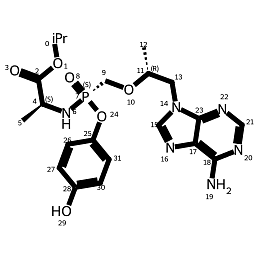 CC(C)OC(=O)[C@H](C)N[P@](=O)(CO[C@H](C)Cn1cnc2c(N)ncnc21)Oc1ccc(O)cc1